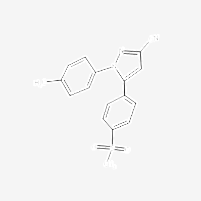 Cc1ccc(-n2nc(C#N)cc2-c2ccc(S(C)(=O)=O)cc2)cc1